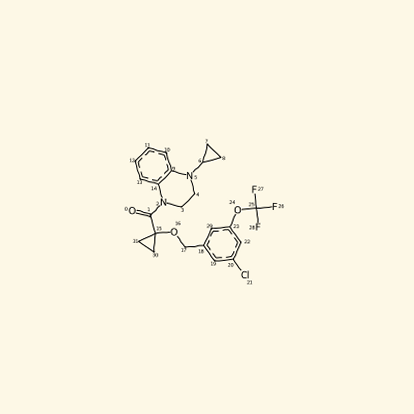 O=C(N1CCN(C2CC2)c2ccccc21)C1(OCc2cc(Cl)cc(OC(F)(F)F)c2)CC1